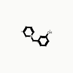 Oc1cccc(CN2C=CC=CC2)c1